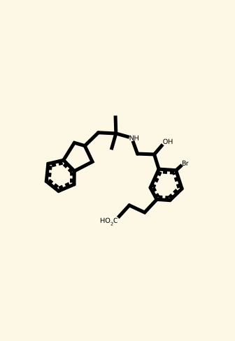 CC(C)(CC1Cc2ccccc2C1)NCC(O)c1cc(CCC(=O)O)ccc1Br